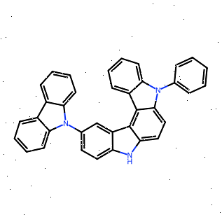 c1ccc(-n2c3ccccc3c3c4c(ccc32)[nH]c2ccc(-n3c5ccccc5c5ccccc53)cc24)cc1